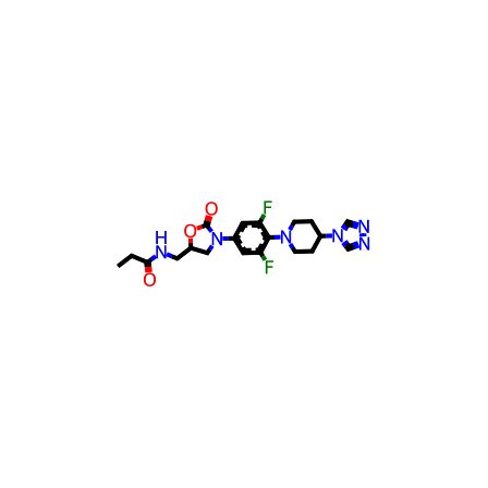 CCC(=O)NCC1CN(c2cc(F)c(N3CCC(n4cnnc4)CC3)c(F)c2)C(=O)O1